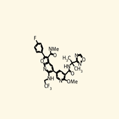 CNC(=O)c1c(-c2ccc(F)cc2)oc2nc(NCC(F)(F)F)c(-c3cnc(OC)c(C(=O)NC(C)(C)c4ncon4)c3)cc12